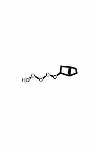 OOOOOC1CC2=C1CC2